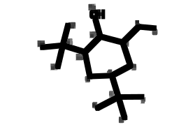 CCC1CC(C(C)(C)C)CC(C(C)(C)C)C1O